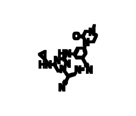 C=N/C=C(/C#N)N1CC(NC2CC2)=NC(Nc2cc(C#N)cc(N3CCN(C)CC3=O)c2)=N1